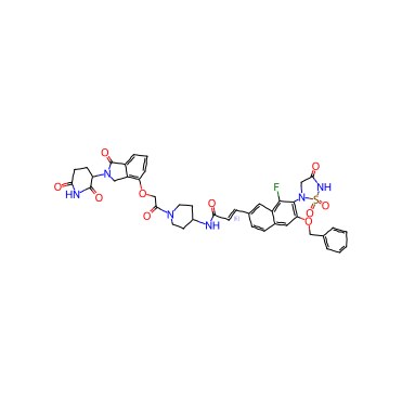 O=C(/C=C/c1ccc2cc(OCc3ccccc3)c(N3CC(=O)NS3(=O)=O)c(F)c2c1)NC1CCN(C(=O)COc2cccc3c2CN(C2CCC(=O)NC2=O)C3=O)CC1